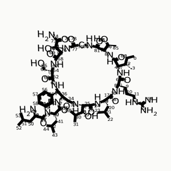 CC[C@H](C)[C@@H]1NC(=O)[C@@H](CCCNC(=N)N)NC(=O)[C@H](CC(C)C)NC(=O)[C@H]([C@H](O)C(C)C)NC(=O)[C@@H](NC(=O)[C@H](CC(C)C)NC(=O)[C@H](N)CC(C)C)[C@@H](c2ccccc2)NC(=O)[C@H](CO)NC(=O)[C@H]([C@@H](O)C(N)=O)NC(=O)CNC(=O)[C@H]([C@H](C)O)NC1=O